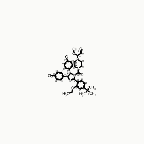 CCOc1cc(C(C)(C)C)ccc1C1=N[C@@H](c2ccc(Cl)cc2)[C@@H](c2ccc(Cl)cc2)N1C(=O)N1CCN(C(C=O)OC)CC1